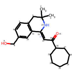 CC1(C)Cc2ccc(CO)cc2/C(=C/C(=O)C2CCCCCC2)N1